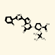 CC(C)(C)C[C@@H]1C[C@H](c2cc(=O)[nH]c3c(-c4nc(-c5ccccc5F)no4)cnn23)CCN1C(=O)O